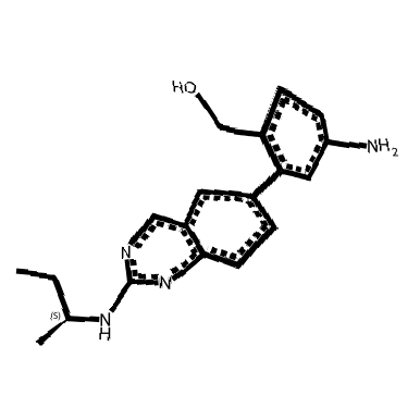 CC[C@H](C)Nc1ncc2cc(-c3cc(N)ccc3CO)ccc2n1